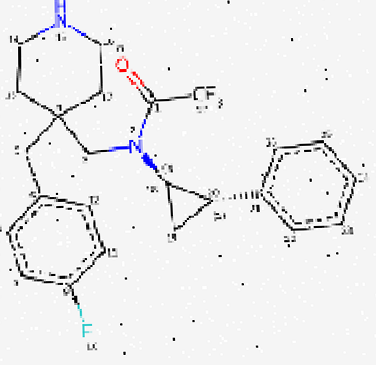 O=C(N(CC1(Cc2ccc(F)cc2)CCNCC1)[C@@H]1C[C@H]1c1ccccc1)C(F)(F)F